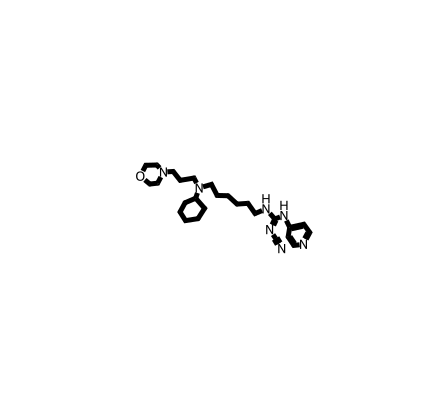 N#CN=C(NCCCCCCN(CCCN1CCOCC1)C1CCCCC1)Nc1ccncc1